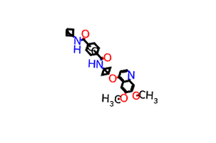 COc1cc2nccc(OC34CC3(NC(=O)C35CCC(C(=O)NC67CC(C6)C7)(CC3)CC5)C4)c2cc1OC